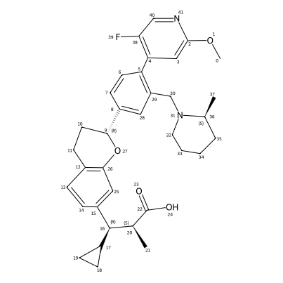 COc1cc(-c2ccc([C@H]3CCc4ccc([C@H](C5CC5)[C@H](C)C(=O)O)cc4O3)cc2CN2CCCC[C@@H]2C)c(F)cn1